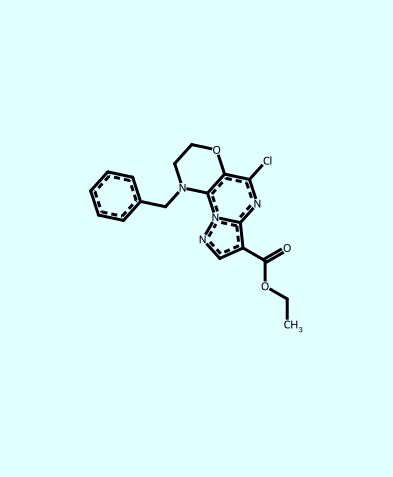 CCOC(=O)c1cnn2c3c(c(Cl)nc12)OCCN3Cc1ccccc1